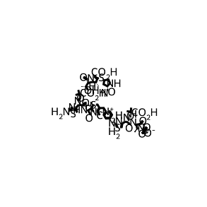 CC(C)(O/N=C(\C(=O)N[C@@H]1C(=O)N2C(C(=O)O)=C(C[n+]3ccccc3)CS[C@H]12)c1csc(N)n1)C(=O)O.C[C@@H](O)[C@H]1C(=O)N2C(C(=O)O)=C(S[C@@H]3CN[C@H](C(=O)N(C)C)C3)[C@H](C)[C@H]12.C[C@H]1[C@H](NC(=O)/C(=N\OC(C)(C)C(=O)O)c2csc(N)n2)C(=O)N1S(=O)(=O)[O-]